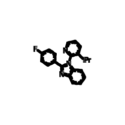 CC(C)c1cccnc1-n1c(-c2ccc(F)cc2)nc2ccccc21